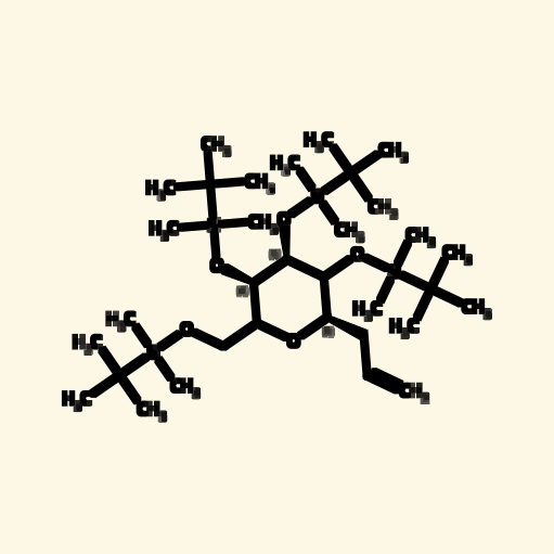 C=CC[C@H]1OC(CO[Si](C)(C)C(C)(C)C)[C@@H](O[Si](C)(C)C(C)(C)C)[C@@H](O[Si](C)(C)C(C)(C)C)C1O[Si](C)(C)C(C)(C)C